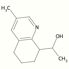 Cc1cnc2c(c1)CCCC2C(C)O